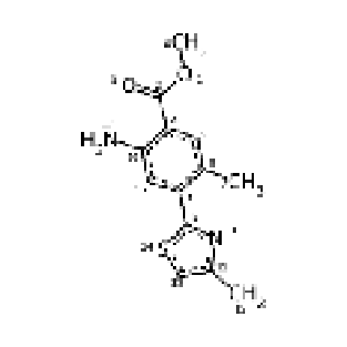 COC(=O)c1cc(C)c(-c2nc(C)cs2)cc1N